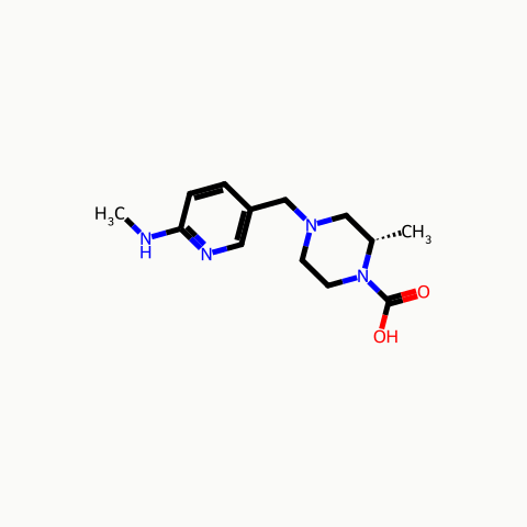 CNc1ccc(CN2CCN(C(=O)O)[C@@H](C)C2)cn1